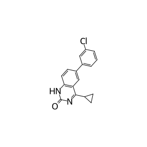 O=c1nc(C2CC2)c2cc(-c3cccc(Cl)c3)ccc2[nH]1